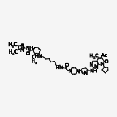 CC(=O)c1c(C)c2cnc(Nc3ccc(N4CCN(CC(=O)NCCCCCCCNc5cccc(C(=O)NC6=NC(C)C(C)S6)c5C)CC4)cn3)nc2n(C2CCCC2)c1=O